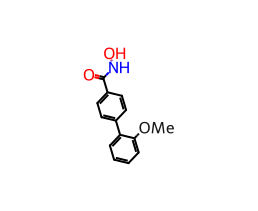 COc1ccccc1-c1ccc(C(=O)NO)cc1